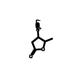 [C-]#[N+]C1CC(=O)OC1C